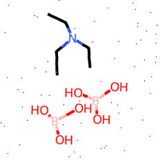 CCN(CC)CC.OB(O)O.OB(O)O